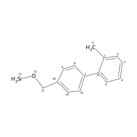 Cc1ccccc1-c1ccc(CO[SiH3])cc1